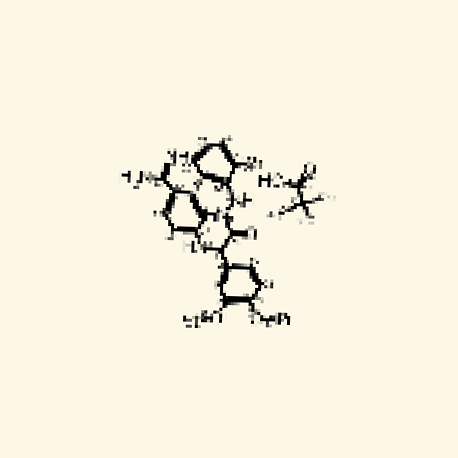 CCOc1cc(C(Nc2ccc(C(=N)N)cc2)C(=O)NNc2ccccc2Br)ccc1OC(C)C.O=C(O)C(F)(F)F